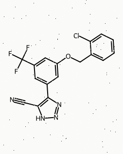 N#Cc1[nH]nnc1-c1cc(OCc2ccccc2Cl)cc(C(F)(F)F)c1